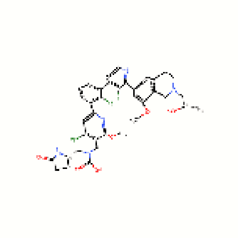 COc1cc(-c2nccc(-c3cccc(-c4cc(Cl)c(CN(C[C@@H]5CCC(=O)N5)C(=O)O)c(OC)n4)c3Cl)c2Cl)cc2c1CN(C[C@H](C)O)CC2